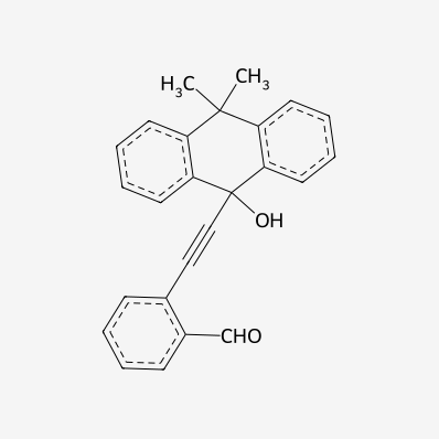 CC1(C)c2ccccc2C(O)(C#Cc2ccccc2C=O)c2ccccc21